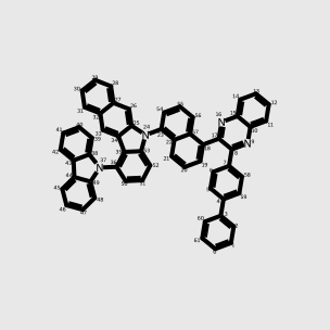 c1ccc(-c2ccc(-c3nc4ccccc4nc3-c3cccc4c(-n5c6cc7ccccc7cc6c6c(-n7c8ccccc8c8ccccc87)cccc65)cccc34)cc2)cc1